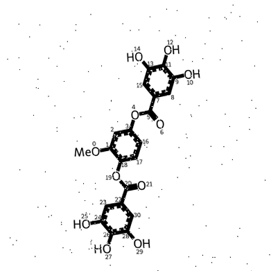 COc1cc(OC(=O)c2cc(O)c(O)c(O)c2)ccc1OC(=O)c1cc(O)c(O)c(O)c1